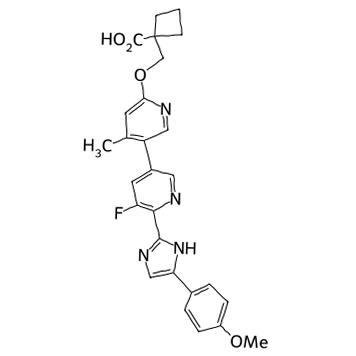 COc1ccc(-c2cnc(-c3ncc(-c4cnc(OCC5(C(=O)O)CCC5)cc4C)cc3F)[nH]2)cc1